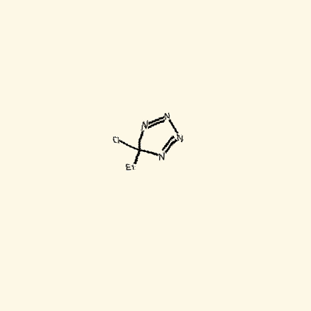 CCC1(Cl)N=NN=N1